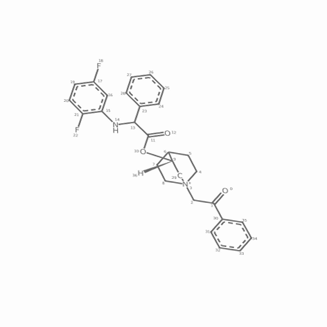 O=C(C[N+]12CCC(CC1)[C@@H](OC(=O)C(Nc1cc(F)ccc1F)c1ccccc1)C2)c1ccccc1